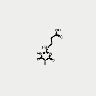 O=C(O)CCNc1nc(=S)[nH]c(=S)[nH]1